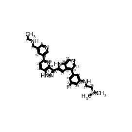 CCNCc1cncc(-c2ccc3[nH]nc(-c4cc5c(-c6cc(F)cc(NCCN(C)C)c6)cncc5[nH]4)c3n2)c1